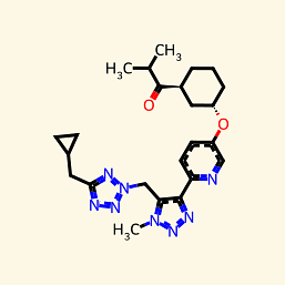 CC(C)C(=O)[C@H]1CCC[C@H](Oc2ccc(-c3nnn(C)c3Cn3nnc(CC4CC4)n3)nc2)C1